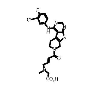 CN(CC=CC(=O)N1CCc2c(sc3ncnc(Nc4ccc(F)c(Cl)c4)c23)C1)CC(=O)O